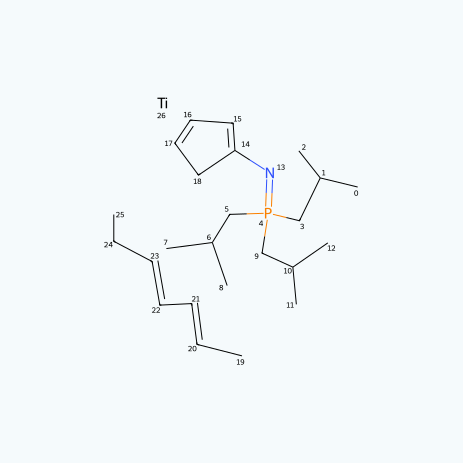 CC(C)CP(CC(C)C)(CC(C)C)=NC1=CC=CC1.CC=CC=CCC.[Ti]